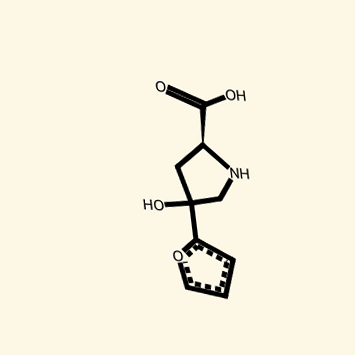 O=C(O)[C@@H]1CC(O)(c2ccco2)CN1